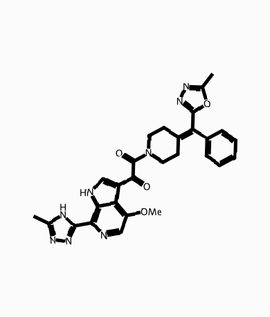 COc1cnc(-c2nnc(C)[nH]2)c2[nH]cc(C(=O)C(=O)N3CCC(=C(c4ccccc4)c4nnc(C)o4)CC3)c12